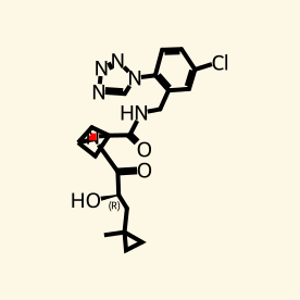 CC1(C[C@@H](O)C(=O)N2CC3CC2(C(=O)NCc2cc(Cl)ccc2-n2cnnn2)C3)CC1